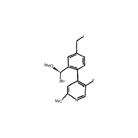 COc1cc(-c2ccc(CI)cc2[C@H](OC)C(C)(C)C)c(F)cn1